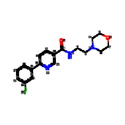 O=C(NCCN1CCOCC1)c1ccc(-c2cccc(F)c2)nc1